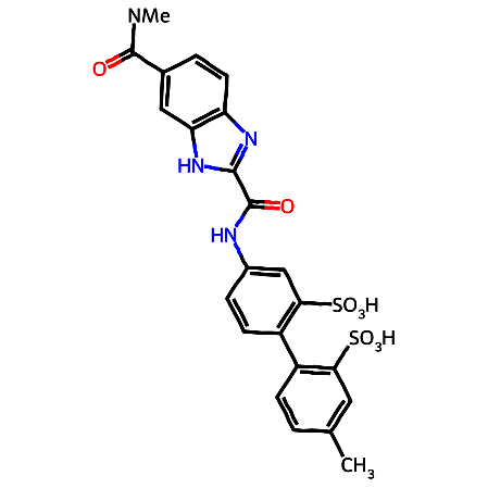 CNC(=O)c1ccc2nc(C(=O)Nc3ccc(-c4ccc(C)cc4S(=O)(=O)O)c(S(=O)(=O)O)c3)[nH]c2c1